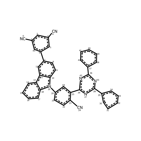 N#Cc1cc(C#N)cc(-c2ccc3c(c2)c2ccccc2n3-c2ccc(C#N)c(-c3nc(-c4ccccc4)nc(-c4ccccc4)n3)c2)c1